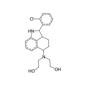 OCCN(CCO)C1CCC2c3c(cccc31)NC2c1ccccc1Cl